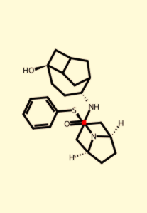 O=C(N[C@@H]1CC[C@]2(O)CC3CC1CC32)N1[C@@H]2CC[C@H]1C[C@@H](Sc1ccccc1)C2